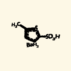 Cc1ccc(S(=O)(=O)O)s1.[BaH2]